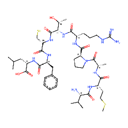 CSCC[C@H](NC(=O)[C@@H](N)C(C)C)C(=O)N[C@@H](C)C(=O)N1CCC[C@H]1C(=O)N[C@@H](CCCNC(=N)N)C(=O)N[C@H](C(=O)N[C@@H](CS)C(=O)N[C@@H](Cc1ccccc1)C(=O)N[C@@H](CC(C)C)C(=O)O)[C@@H](C)O